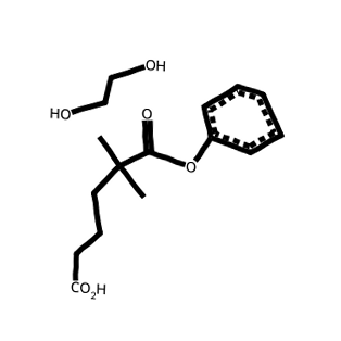 CC(C)(CCCC(=O)O)C(=O)Oc1ccccc1.OCCO